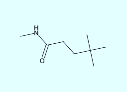 CNC(=O)CCC(C)(C)C